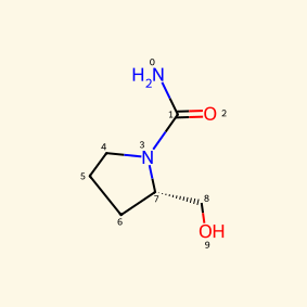 NC(=O)N1CCC[C@H]1CO